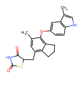 Cc1cc(CC2SC(=O)NC2=O)c2c(c1Oc1ccc3[nH]cc(C)c3c1)CCC2